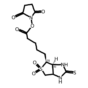 O=C(CCCC[C@H]1[C@H]2NC(=S)NC2CS1(=O)=O)ON1C(=O)CCC1=O